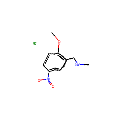 CNCc1cc([N+](=O)[O-])ccc1OC.Cl